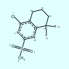 CS(=O)(=O)c1nc(Cl)c2c(n1)C(F)(F)CCC2